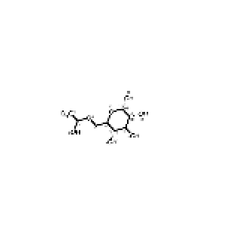 OC1[C@H](O)C(COC(O)C(Cl)(Cl)Cl)O[C@H](O)[C@@H]1O